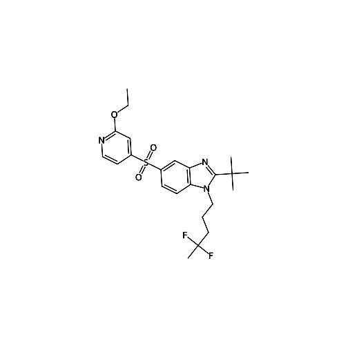 CCOc1cc(S(=O)(=O)c2ccc3c(c2)nc(C(C)(C)C)n3CCCC(C)(F)F)ccn1